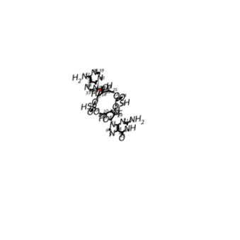 Nc1nc2c(ncn2[C@@H]2O[C@@H]3CO[P@](=O)(S)O[C@@H]4[C@H](F)[C@@H](CO[P@](=O)(S)O[C@H]3[C@H]2F)O[C@H]4n2cnc3c(N)ncnc32)c(=O)[nH]1